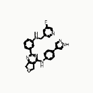 Fc1cncc(CNc2cccc(-c3nc4c(c(Nc5ccc(-c6cn[nH]c6)cc5)n3)COC4)c2)c1